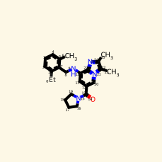 CCc1cccc(C)c1CNc1cc(C(=O)N2CCCC2)cn2c(C)c(C)nc12